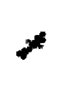 CC(C)c1cc(-c2ccc3sc4c(ccc5c6ccccc6c6ccccc6c54)c3c2)c2ccc3c(C(C)C)cc(-c4c5ccccc5c(-c5ccccc5)c5ccccc45)c4ccc1c2c43